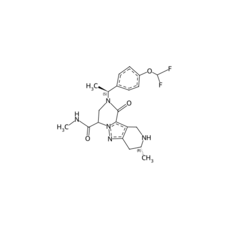 CNC(=O)C1CN([C@@H](C)c2ccc(OC(F)F)cc2)C(=O)c2c3c(nn21)C[C@@H](C)NC3